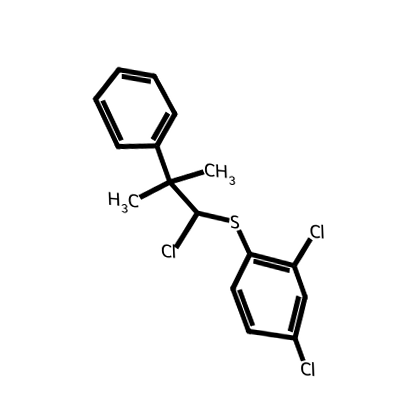 CC(C)(c1ccccc1)C(Cl)Sc1ccc(Cl)cc1Cl